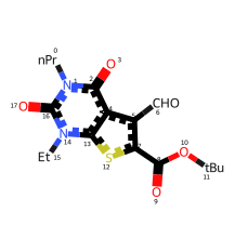 CCCn1c(=O)c2c(C=O)c(C(=O)OC(C)(C)C)sc2n(CC)c1=O